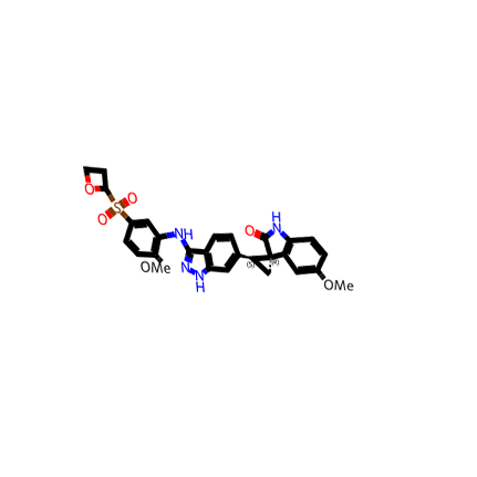 COc1ccc2c(c1)[C@]1(C[C@H]1c1ccc3c(Nc4cc(S(=O)(=O)C5CCO5)ccc4OC)n[nH]c3c1)C(=O)N2